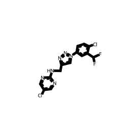 FC(F)c1cc(-n2cc(CNc3ncc(Cl)cn3)nn2)ccc1Cl